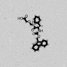 O=C(O)COCNC(=O)[C@@H](Cc1ccccc1)NC(=O)OCC1c2ccccc2-c2ccccc21